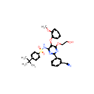 COc1ccccc1Oc1c(NS(=O)(=O)c2ccc(C(C)(C)C)cc2)nc(-c2cccc(C#N)c2)nc1OCCO